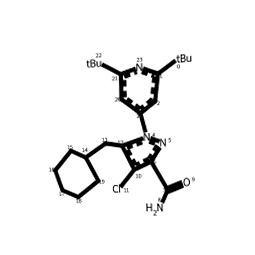 CC(C)(C)c1cc(-n2nc(C(N)=O)c(Cl)c2CC2CCCCC2)cc(C(C)(C)C)n1